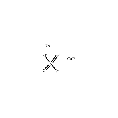 O=S(=O)([O-])[O-].[Ca+2].[Zn]